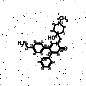 CN1CCC(O)(Cn2cc(-c3ccc(CN)cc3)c(-c3ccccc3)cc2=O)CC1